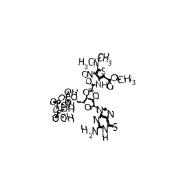 [C-]#[N+]c1c(N(C)C)sc(C(=O)OC)c1NC(=O)[C@@H]1OC2C(COP(=O)(O)OP(=O)(O)OP(=O)(O)O)OC(n3cnc4c(=S)[nH]c(N)nc43)C2O1